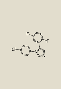 Fc1ccc(F)c(-c2cncn2-c2ccc(Cl)cc2)c1